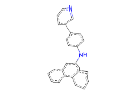 c1cncc(-c2ccc(Nc3cc4ccccc4c4ccccc34)cc2)c1